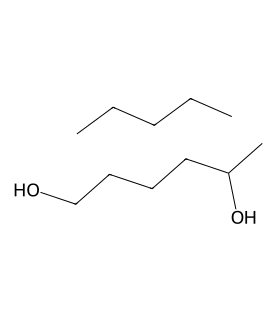 CC(O)CCCCO.CCCCC